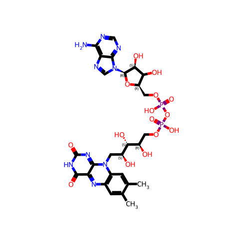 Cc1cc2nc3c(=O)[nH]c(=O)nc-3n(C[C@H](O)[C@H](O)[C@H](O)COP(=O)(O)OP(=O)(O)OC[C@H]3O[C@@H](n4cnc5c(N)ncnc54)[C@@H](O)C3O)c2cc1C